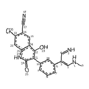 CN/C=C(\C=N)c1cccc(-c2c(O)c3cc(C#N)c(Cl)cc3[nH]c2=O)c1